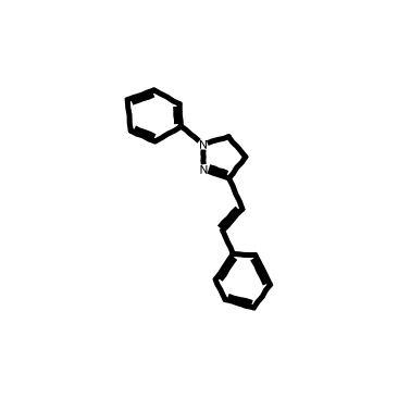 C(=C\c1ccccc1)/C1=NN(c2ccccc2)CC1